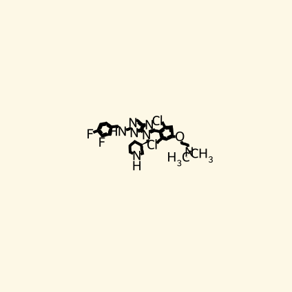 CN(C)CCOc1cc(Cl)c(-c2nc3cnc(NCc4ccc(F)c(F)c4)nc3n2C[C@@H]2CCCNC2)c(Cl)c1